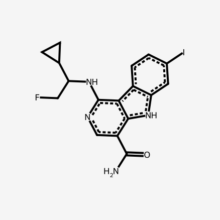 NC(=O)c1cnc(NC(CF)C2CC2)c2c1[nH]c1cc(I)ccc12